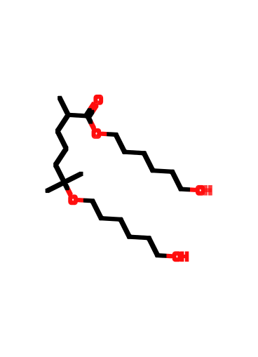 CC(CCCC(C)(C)OCCCCCCO)C(=O)OCCCCCCO